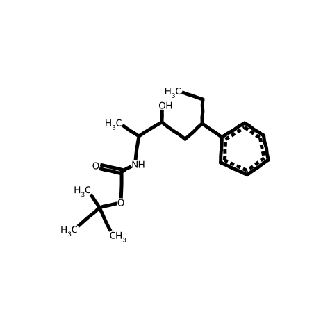 CCC(CC(O)C(C)NC(=O)OC(C)(C)C)c1ccccc1